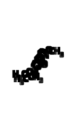 COc1ccc2c(n1)C(=O)C1(CCN(C(=O)OC(C)(C)C)CC1)C2